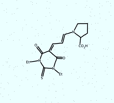 CCN1C(=O)C(=CC=CN2CCCC2C(=O)O)C(=O)N(CC)C1=S